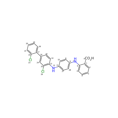 O=C(O)c1ccccc1Nc1ccc(Nc2ccc(-c3ccccc3Cl)cc2Cl)cc1